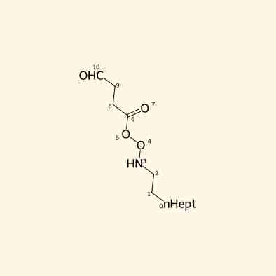 CCCCCCCCCNOOC(=O)CCC=O